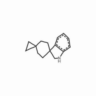 c1ccc2c(c1)NCC21CCC2(CC2)CC1